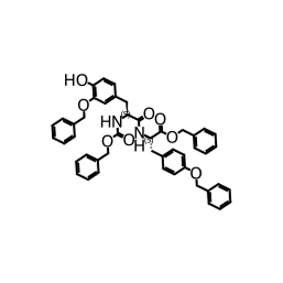 O=C(N[C@@H](Cc1ccc(O)c(OCc2ccccc2)c1)C(=O)N[C@@H](Cc1ccc(OCc2ccccc2)cc1)C(=O)OCc1ccccc1)OCc1ccccc1